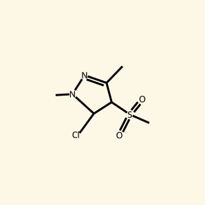 CC1=NN(C)C(Cl)C1S(C)(=O)=O